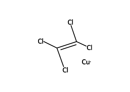 ClC(Cl)=C(Cl)Cl.[Cu]